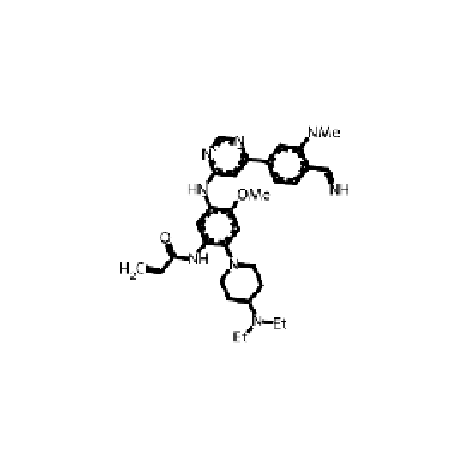 C=CC(=O)Nc1cc(Nc2cc(-c3ccc(C=N)c(NC)c3)ncn2)c(OC)cc1N1CCC(N(CC)CC)CC1